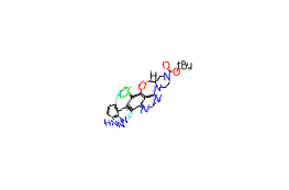 CC(C)(C)OC(=O)N1CCN2c3ncnc4c(F)c(-c5c(F)ccc6[nH]nnc56)c(Cl)c(c34)OC[C@@H]2C1